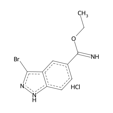 CCOC(=N)c1ccc2[nH]nc(Br)c2c1.Cl